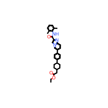 CCOC(=O)CC1CCC(c2ccc(-c3ccc4nc(C(=O)Nc5c(C)cccc5C)cn4c3)cc2)CC1